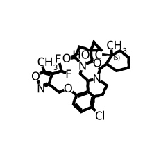 Cc1onc(COc2ccc(Cl)c3c2C(CN2CC4(CC4)CC2=O)N(C(=O)C2CCCC[C@]2(C)C(=O)O)CC3)c1C(F)F